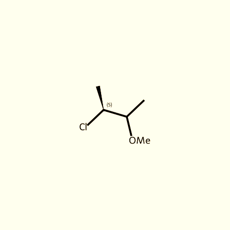 COC(C)[C@H](C)Cl